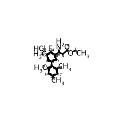 CCOC(=O)CC(N)c1cc(-c2c(C)cc(C)cc2C)cc(C)c1F.Cl